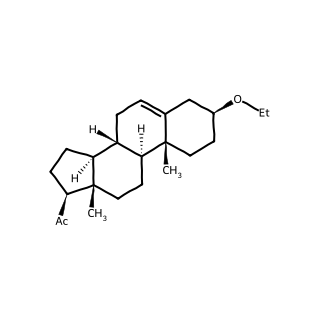 CCO[C@H]1CC[C@@]2(C)C(=CC[C@H]3[C@@H]4CC[C@H](C(C)=O)[C@@]4(C)CC[C@@H]32)C1